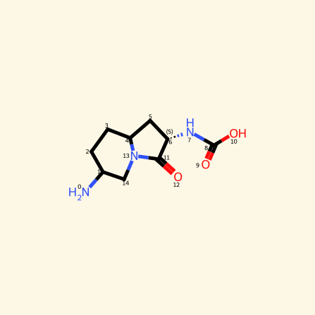 NC1CCC2C[C@H](NC(=O)O)C(=O)N2C1